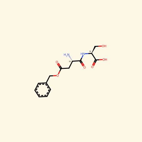 N[C@@H](CC(=O)OCc1ccccc1)C(=O)N[C@@H](CO)C(=O)O